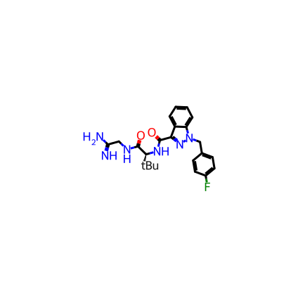 CC(C)(C)[C@H](NC(=O)c1nn(Cc2ccc(F)cc2)c2ccccc12)C(=O)NCC(=N)N